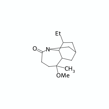 CCC1CC2CC3C1N(C2)C(=O)CCC3(C)OC